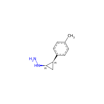 Cc1ccc([C@H]2C[C@H]2NN)cc1